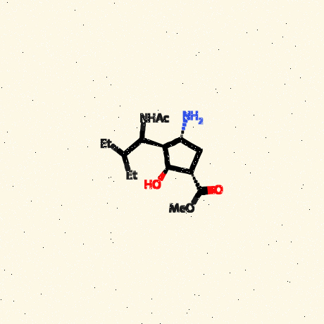 CCC(CC)C(NC(C)=O)[C@@H]1[C@H](O)[C@@H](C(=O)OC)C[C@H]1N